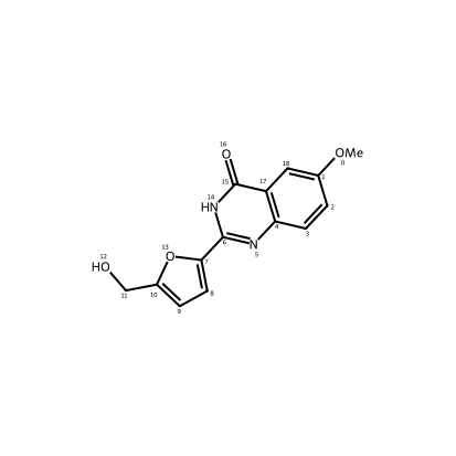 COc1ccc2nc(-c3ccc(CO)o3)[nH]c(=O)c2c1